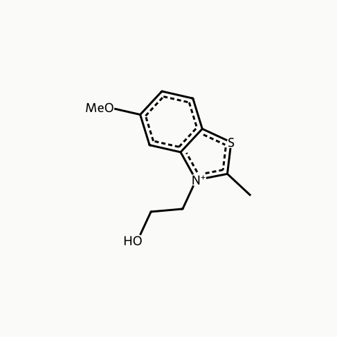 COc1ccc2sc(C)[n+](CCO)c2c1